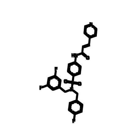 O=C(/C=C/c1ccncc1)Nc1ccc(S(=O)(=O)N(Cc2ccc(F)cc2)Cc2cc(F)cc(F)c2)cc1